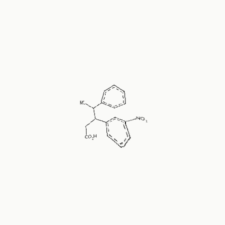 N#CC(c1ccccc1)C(CC(=O)O)c1cccc([N+](=O)[O-])c1